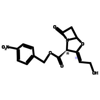 O=C(OCc1ccc([N+](=O)[O-])cc1)[C@H]1/C(=C/CO)OC2CC(=O)N21